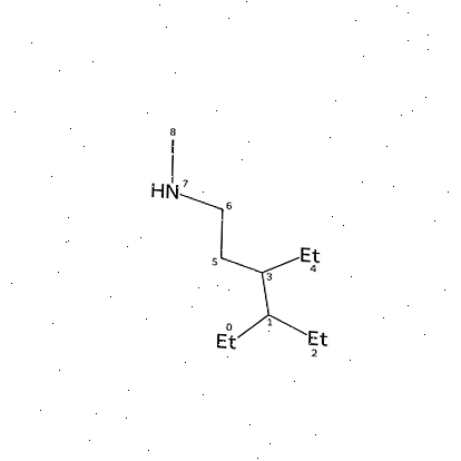 CCC(CC)C(CC)CCNI